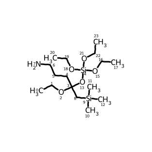 CCOC(CCCN)(C[Si](C)(C)C)O[Si](OCC)(OCC)OCC